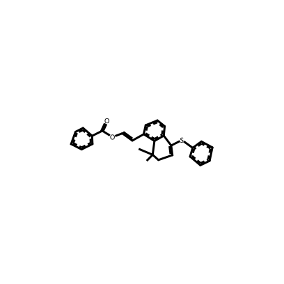 CC1(C)CC=C(Sc2ccccc2)c2cccc(C=COC(=O)c3ccccc3)c21